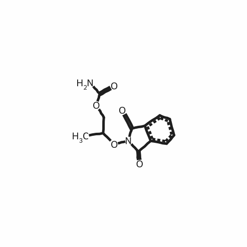 CC(COC(N)=O)ON1C(=O)c2ccccc2C1=O